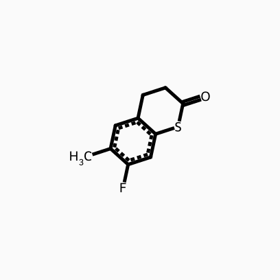 Cc1cc2c(cc1F)SC(=O)CC2